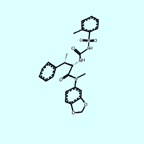 Cc1ccccc1S(=O)(=O)NC(=O)N[C@H](C(=O)N(C)c1ccc2c(c1)OCO2)[C@@H](C)c1ccccc1